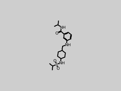 CC(C)NC(=O)c1cccc(NCC2CCC(NS(=O)(=O)C(C)C)CC2)c1